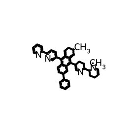 CC1C=c2c(C3=CN=C(C4CCC=CN4C)CC3)c3cc(-c4ccccc4)ccc3c(-c3ccc(-c4ccccn4)nc3)c2=CC1